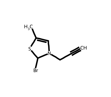 C#CCN1C=C(C)SC1Br